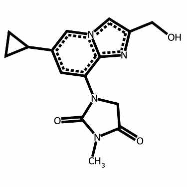 CN1C(=O)CN(c2cc(C3CC3)cn3cc(CO)nc23)C1=O